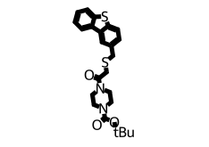 CC(C)(C)OC(=O)N1CCN(C(=O)CSCc2ccc3sc4ccccc4c3c2)CC1